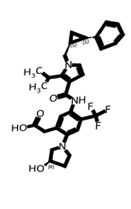 CC(C)c1c(C(=O)Nc2cc(CC(=O)O)c(N3CC[C@@H](O)C3)cc2C(F)(F)F)ccn1C[C@H]1C[C@@H]1c1ccccc1